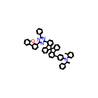 C=C(c1ccccc1)N(c1ccc(-c2cccc3c2-c2ccccc2C32c3ccccc3-c3c(-c4nc(-c5ccccc5)nc(-c5cccc6c5oc5ccccc56)n4)cccc32)cc1)c1ccccc1C